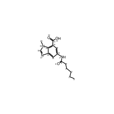 CCCCCC(=O)Nc1cc(C(=O)O)c2c(c1)ncn2C